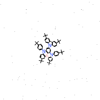 CC(C)(C)c1ccc(N2c3ccc(C(C)(C)C)cc3B3c4cc(C(C)(C)C)ccc4N(c4ccc(C(C)(C)C)cc4)c4cc(-n5c6ccc(C(C)(C)C)cc6c6cc(C(C)(C)C)ccc65)cc2c43)cc1